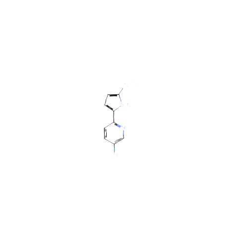 O=Cc1ccc(-c2ccc(Cl)cn2)[nH]1